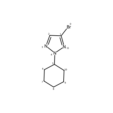 Brc1cnn(C2CCCCC2)n1